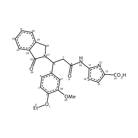 CCOc1ccc(C(CC(=O)Nc2nc(C(=O)O)cs2)N2Cc3ccccc3C2=O)cc1OC